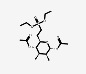 CCOP(=O)(CC[C@H]1O[C@H](OC(C)=O)[C@@H](C)[C@@H](C)[C@@H]1OC(C)=O)OCC